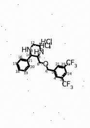 Cl.Cl.FC(F)(F)c1cc(COCC2NCCNC2c2ccccc2)cc(C(F)(F)F)c1